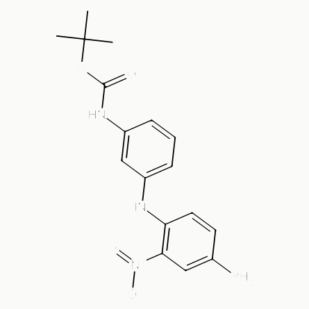 Bc1ccc(Nc2cccc(NC(=O)OC(C)(C)C)c2)c([N+](=O)[O-])c1